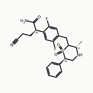 C[C@@H]1NC[C@@H](c2ccccc2)S(=O)(=O)C1Cc1cc(F)c([C@@H](CCC#N)C(N)=O)cc1F